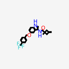 C=C1CC(C)(C(=O)Nc2c[nH]c3ccc(OCc4ccc(C(F)(F)F)cc4)cc23)C1